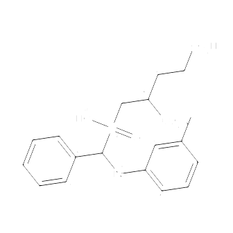 Cc1cccc(NC(c2ccccc2)P(=O)(O)CC(CCC(=O)O)C(=O)O)c1